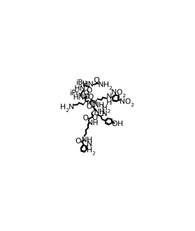 CCC(C)[C@H](NC(=O)[C@@H](NC(=O)[C@H](CCCCN)NC(=O)[C@H](CCCCNc1ccc([N+](=O)[O-])cc1[N+](=O)[O-])NC(=O)[C@H](CCC(=O)NCCCCCNC(=O)c1ccccc1N)NC(=O)[C@@H](N)Cc1ccc(O)cc1)C(C)C)C(=O)NCC(N)=O